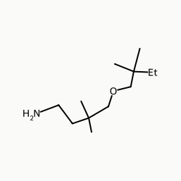 CCC(C)(C)COCC(C)(C)CCN